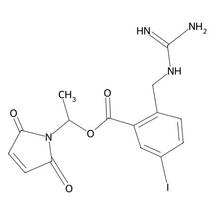 CC(OC(=O)c1cc(I)ccc1CNC(=N)N)N1C(=O)C=CC1=O